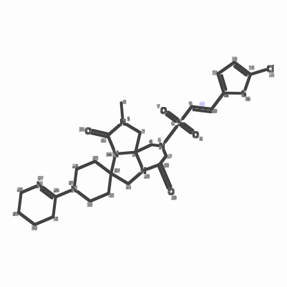 CN1CC23CN(S(=O)(=O)/C=C/c4ccc(Cl)s4)CC(=O)N2CC2(CCN(C4=NCCCC4)CC2)N3C1=O